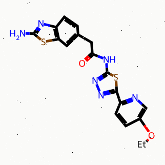 CCOc1ccc(-c2nnc(NC(=O)Cc3ccc4nc(N)sc4c3)s2)nc1